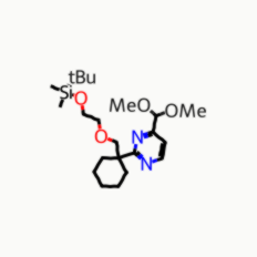 COC(OC)c1ccnc(C2(COCCO[Si](C)(C)C(C)(C)C)CCCCC2)n1